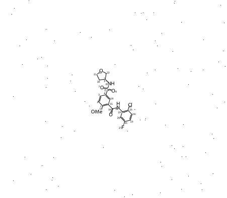 COc1ccc(S(=O)(=O)N[C@H]2CCOC2)cc1C(=O)Nc1cc(F)ccc1Cl